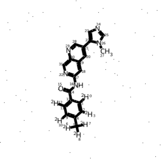 [2H]c1c([2H])c(C([2H])([2H])[2H])c([2H])c([2H])c1C(=O)Nc1cc2cc(-c3cncn3C)cnc2cn1